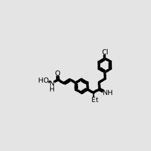 CC[C@H](C(=N)CCc1ccc(Cl)cc1)c1ccc(/C=C/C(=O)NO)cc1